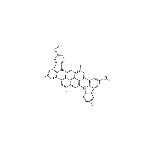 COc1ccc2c(c1)-c1cc(C)cc3c1B2c1cc2c(C)cc4c5c(cc6c(C)cc-3c1c6c25)B1c2ccc(C)cc2-c2cc(OC)cc-4c21